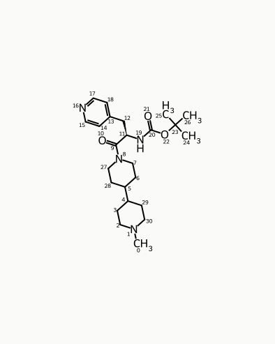 CN1CCC(C2CCN(C(=O)[C@@H](Cc3ccncc3)NC(=O)OC(C)(C)C)CC2)CC1